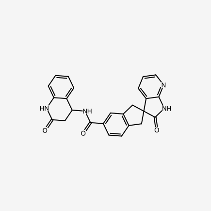 O=C1CC(NC(=O)c2ccc3c(c2)CC2(C3)C(=O)Nc3ncccc32)c2ccccc2N1